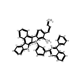 C=C/C=C\c1ccc2c3c4ccccc4c4c5ccccc5sc4c3n(-c3cccc(-c4nc(-c5ccccc5)c5ccccc5n4)c3)c2c1C